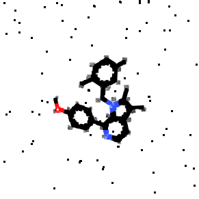 COc1ccc(-c2nccc3c(C)c(C)n(Cc4cc(C)ccc4C)c23)cc1